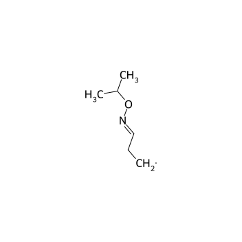 [CH2]CC=NOC(C)C